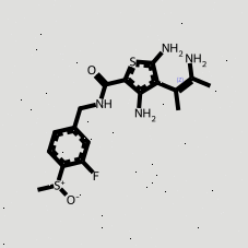 C/C(N)=C(\C)c1c(N)sc(C(=O)NCc2ccc([S+](C)[O-])c(F)c2)c1N